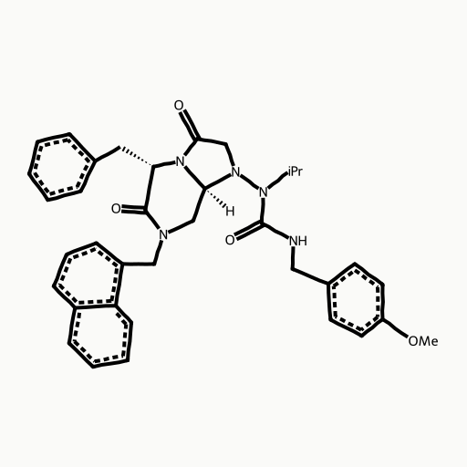 COc1ccc(CNC(=O)N(C(C)C)N2CC(=O)N3[C@@H](Cc4ccccc4)C(=O)N(Cc4cccc5ccccc45)C[C@@H]32)cc1